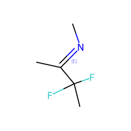 C/N=C(\C)C(C)(F)F